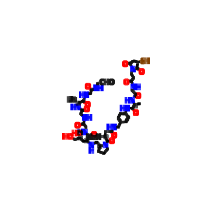 CC[C@H](C)[C@H](NC(=O)CNC(=O)CNC(=O)[C@H](C[C@@H](O)CO)NC[C@@H]1CCCN1C(=O)[C@H](CC(=O)NCc1ccc(NC(=O)[C@H](C)NC(=O)CNC(=O)CCN2C(=O)CC(S)C2=O)cc1)NC)C(=O)NCC(=O)NCC=O